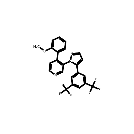 COc1ccccc1-c1ccncc1-n1nccc1-c1cc(C(F)(F)F)cc(C(F)(F)F)c1